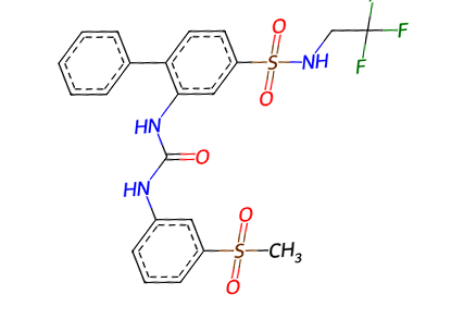 CS(=O)(=O)c1cccc(NC(=O)Nc2cc(S(=O)(=O)NCC(F)(F)F)ccc2-c2ccccc2)c1